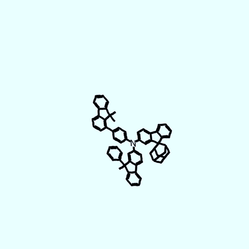 CC1(C)c2ccccc2-c2cccc(-c3ccc(N(c4ccc5c(c4)C(C)(c4ccccc4)c4ccccc4-5)c4ccc5c(c4)C4(c6ccccc6-5)C5CC6CC(C5)CC4C6)cc3)c21